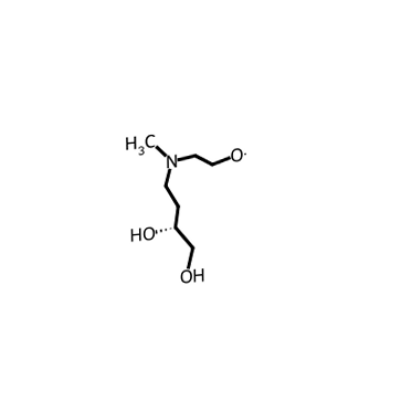 CN(CC[O])CC[C@@H](O)CO